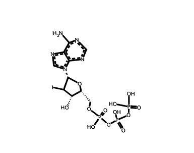 Nc1ncnc2c1ncn2[C@@H]1O[C@H](COP(=O)(O)OP(=O)(O)OP(=O)(O)O)[C@H](O)C1I